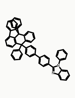 c1ccc(-n2c(-c3ccc(-c4ccc(C5(c6ccccc6)c6ccccc6C6(c7ccccc7)c7ccccc7-c7cccc5c76)cc4)cc3)nc3ccccc32)cc1